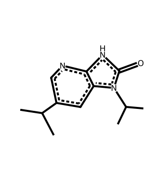 CC(C)c1cnc2[nH]c(=O)n(C(C)C)c2c1